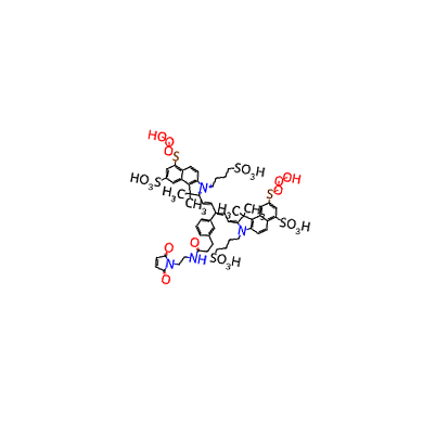 CC1(C)C(/C=C/C(=C/C=C2/N(CCCCS(=O)(=O)O)c3ccc4c(S(=O)(=O)O)cc(SOOO)cc4c3C2(C)C)c2cccc(CCC(=O)NCCN3C(=O)C=CC3=O)c2)=[N+](CCCCS(=O)(=O)O)c2ccc3c(SOOO)cc(S(=O)(=O)O)cc3c21